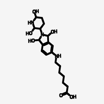 O=C(O)CCCCCCNc1ccc2c(c1)C(O)N(C1CCC(O)NC1O)C2O